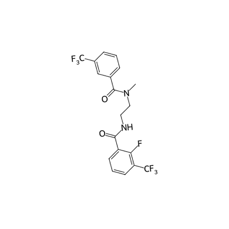 CN(CCNC(=O)c1cccc(C(F)(F)F)c1F)C(=O)c1cccc(C(F)(F)F)c1